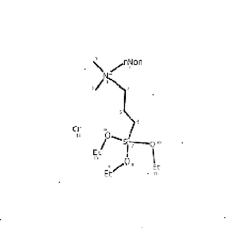 CCCCCCCCC[N+](C)(C)CCC[Si](OCC)(OCC)OCC.[Cl-]